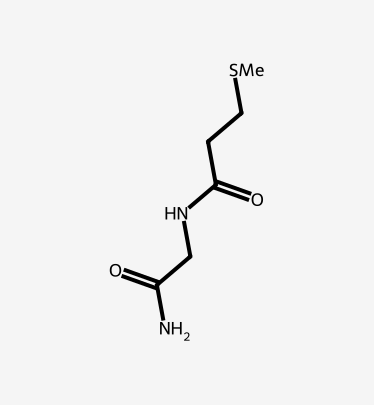 CSCCC(=O)NCC(N)=O